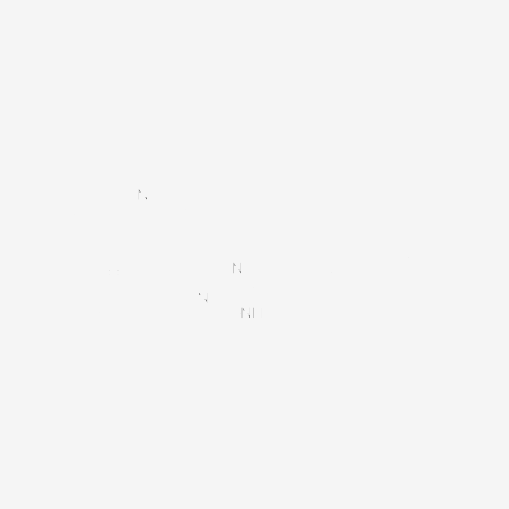 c1ccc(-c2ccc(-c3ccc(C4=NC(c5ccc(-n6c7ccccc7c7cc8ccccc8cc76)cc5-c5cccc6c5oc5ccccc56)=NC(c5ccccc5)N4)cc3)cc2)cc1